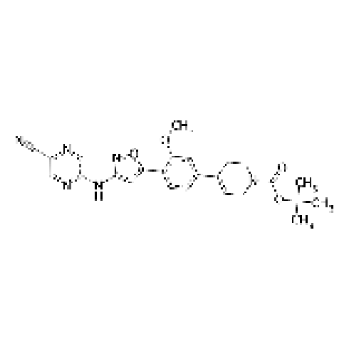 COc1cc(C2=CCN(C(=O)OC(C)(C)C)CC2)ccc1-c1cc(Nc2cnc(C#N)cn2)no1